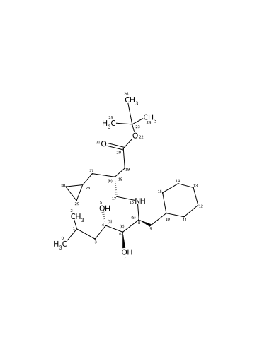 CC(C)C[C@H](O)[C@H](O)[C@H](CC1CCCCC1)NC[C@@H](CC(=O)OC(C)(C)C)CC1CC1